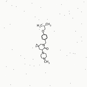 CC(C)COc1ccc(CN2CC3(CC3)CC(N3CCN(C)CC3)C2=O)cc1